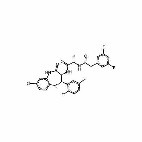 C[C@H](NC(=O)Cc1cc(F)cc(F)c1)C(=O)N[C@@H]1C(=O)Nc2cc(Cl)ccc2S[C@@H]1c1cc(F)ccc1F